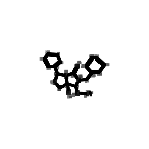 CC(C)OC1[C@@H]2CSC(c3ccccc3)N2C(=O)N1Cc1ccccc1